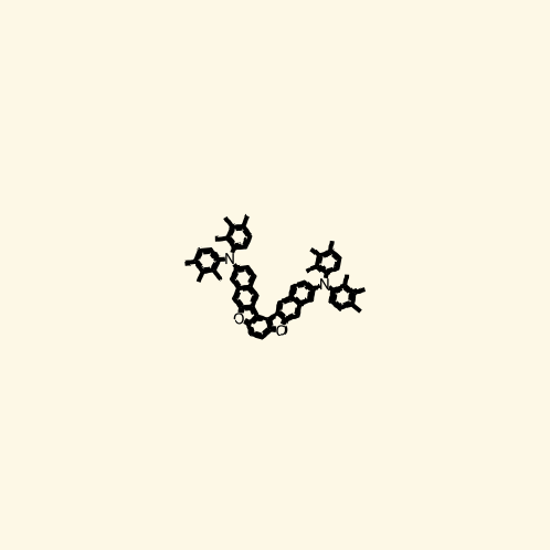 Cc1ccc(N(c2ccc3cc4c(cc3c2)oc2ccc3oc5cc6cc(N(c7ccc(C)c(C)c7C)c7ccc(C)c(C)c7C)ccc6cc5c3c24)c2ccc(C)c(C)c2C)c(C)c1C